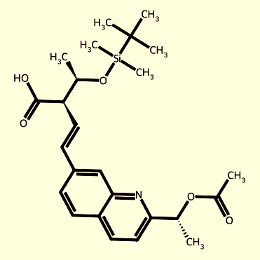 CC(=O)O[C@H](C)c1ccc2ccc(C=C[C@@H](C(=O)O)[C@@H](C)O[Si](C)(C)C(C)(C)C)cc2n1